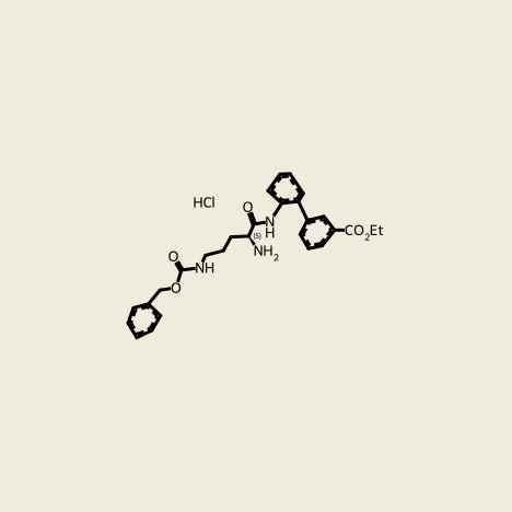 CCOC(=O)c1cccc(-c2ccccc2NC(=O)[C@@H](N)CCCNC(=O)OCc2ccccc2)c1.Cl